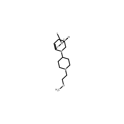 COCCN1CCC(N2C[C@H]3CC=C2CN3I)CC1